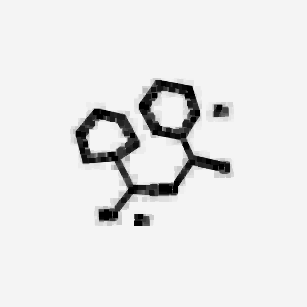 O=C(O)c1ccccc1.O=C(O)c1ccccc1.[Zn].[Zn]